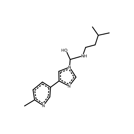 Cc1ccc(-c2cn(C(O)NCCC(C)C)cn2)cn1